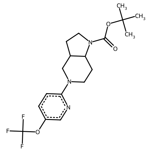 CC(C)(C)OC(=O)N1CCC2CN(c3ccc(OC(F)(F)F)cn3)CCC21